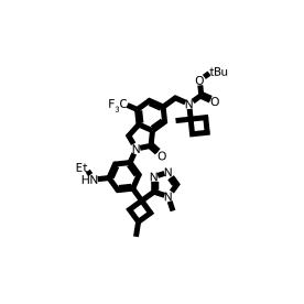 CCNc1cc(N2Cc3c(cc(CN(C(=O)OC(C)(C)C)C4(C)CCC4)cc3C(F)(F)F)C2=O)cc(C2(c3nncn3C)CC(C)C2)c1